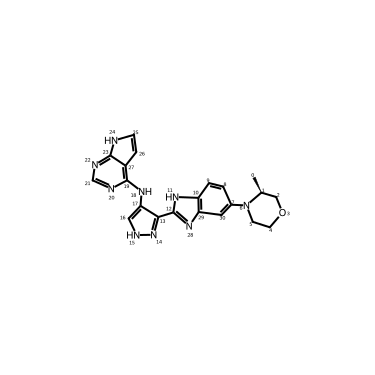 C[C@H]1COCCN1c1ccc2[nH]c(-c3n[nH]cc3Nc3ncnc4[nH]ccc34)nc2c1